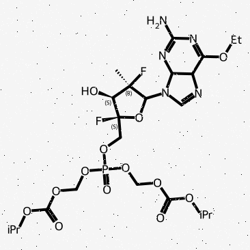 CCOC1=NC(N)=NC2C1N=CN2C1O[C@](F)(COP(=O)(OCOC(=O)OC(C)C)OCOC(=O)OC(C)C)[C@@H](O)[C@@]1(C)F